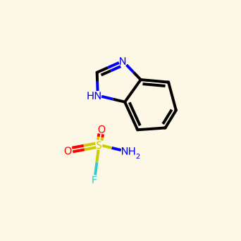 NS(=O)(=O)F.c1ccc2[nH]cnc2c1